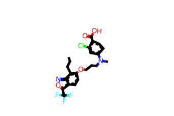 CCCc1c(OCCCN(C)c2ccc(C(=O)O)c(Cl)c2)ccc2c(C(F)(F)F)onc12